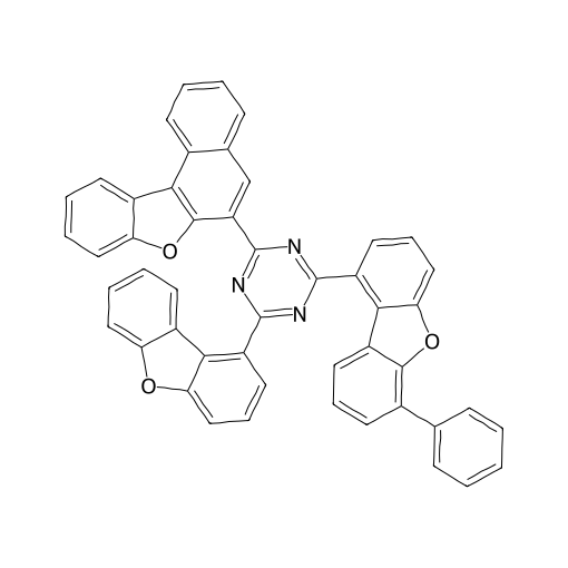 c1ccc(-c2cccc3c2oc2cccc(-c4nc(-c5cc6ccccc6c6c5oc5ccccc56)nc(-c5cccc6oc7ccccc7c56)n4)c23)cc1